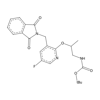 CC(CNC(=O)OC(C)(C)C)Oc1ncc(F)cc1CN1C(=O)c2ccccc2C1=O